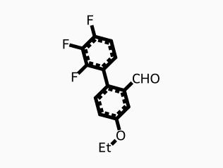 CCOc1ccc(-c2ccc(F)c(F)c2F)c(C=O)c1